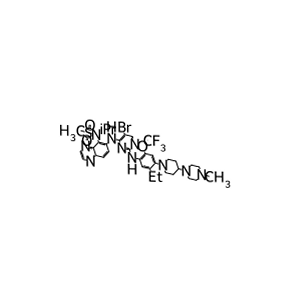 CCc1cc(Nc2ncc(Br)c(Nc3ccc4nccnc4c3N(C(C)C)S(C)(=O)=O)n2)c(OC(F)(F)F)cc1N1CCC(N2CCN(C)CC2)CC1